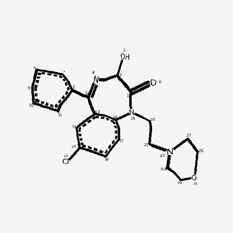 O=C1C(O)N=C(c2ccccc2)c2cc(Cl)ccc2N1CCN1CCOCC1